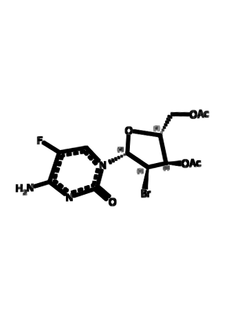 CC(=O)OC[C@H]1O[C@@H](n2cc(F)c(N)nc2=O)[C@H](Br)[C@@H]1OC(C)=O